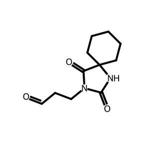 O=CCCN1C(=O)NC2(CCCCC2)C1=O